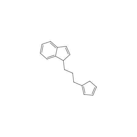 C1=CCC(CCCC2C=Cc3ccccc32)=C1